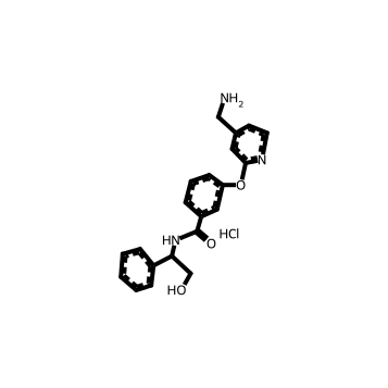 Cl.NCc1ccnc(Oc2cccc(C(=O)NC(CO)c3ccccc3)c2)c1